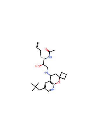 C=CCC[C@H](NC(C)=O)[C@H](O)CNC1CC2(CCC2)Oc2ncc(CC(C)(C)C)cc21